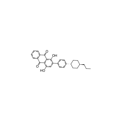 CCC[C@H]1CC[C@H](c2ccc(-c3cc(O)c4c(c3O)C(=O)c3ccccc3C4=O)cc2)CC1